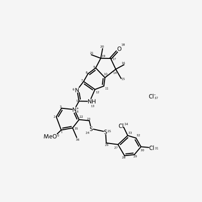 COc1cc[n+](-c2nc3cc4c(cc3[nH]2)C(C)(C)C(=O)C4(C)C)c(CSSCc2ccc(Cl)cc2Cl)c1C.[Cl-]